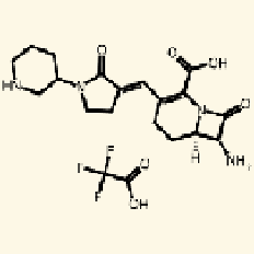 N[C@@H]1C(=O)N2C(C(=O)O)=C(/C=C3\CCN(C4CCCNC4)C3=O)CC[C@H]12.O=C(O)C(F)(F)F